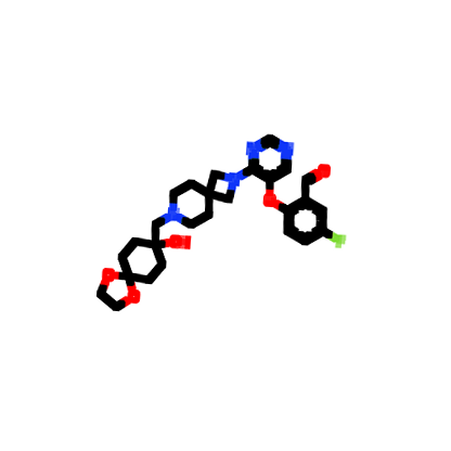 O=Cc1cc(F)ccc1Oc1cncnc1N1CC2(CCN(CC3(O)CCC4(CC3)OCCO4)CC2)C1